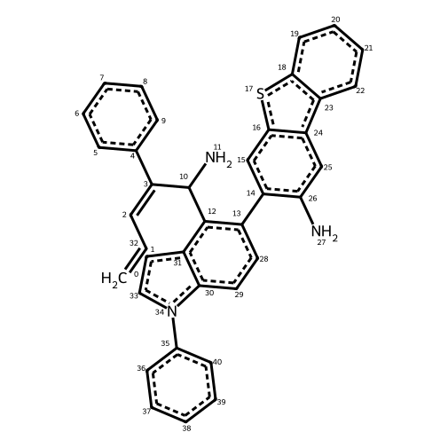 C=C/C=C(/c1ccccc1)C(N)c1c(-c2cc3sc4ccccc4c3cc2N)ccc2c1ccn2-c1ccccc1